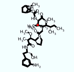 CC[C@H](C)C([C@@H](CC(=O)N1CCC[C@H]1[C@H](OC)[C@@H](C)C(=O)N[C@H](CO)Cc1cccc(N)c1)OC)N(C)C(=O)[C@@H](NC(=O)[C@@H]1C2CCC([C@H]2C)N1C)C(C)C